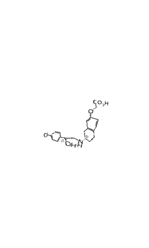 O=C(O)COc1ccc2c(c1)C[C@@H](NC[C@@H](O)c1ccc(Cl)cc1)CC2